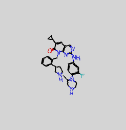 CC1CNCCN1c1ccc(Nc2ncc3cc(C4CC4)c(=O)n(Cc4ccccc4C4CCNC4)c3n2)cc1F